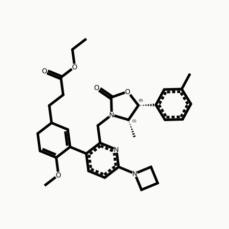 CCOC(=O)CCC1C=C(c2ccc(N3CCC3)nc2CN2C(=O)O[C@H](c3cccc(C)c3)[C@@H]2C)C(OC)=CC1